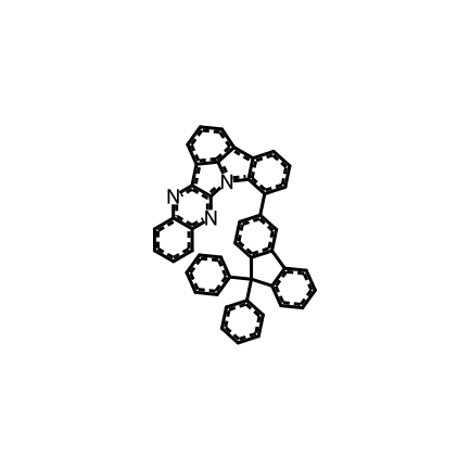 c1ccc(C2(c3ccccc3)c3ccccc3-c3cc(-c4cccc5c6cccc7c8nc9ccccc9nc8n(c45)c67)ccc32)cc1